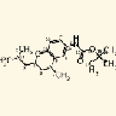 CN(C)CC1CN(C)c2cc(NC(=O)OC(C)(C)C)ccc2O1